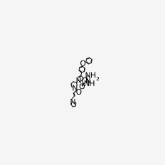 Nc1n[nH]c(=O)c2c1c(-c1ccc(Oc3ccccc3)cc1)cn2[C@@H]1CCCN(C(=O)/C=C/CN2CCCC2)C1